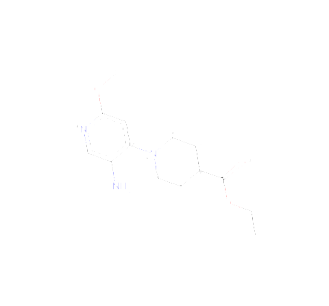 CCOC(=O)C1CCN(c2cc(OC)ncc2N)CC1